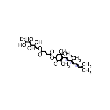 C=C(C)/C=C/C=C(C)/C=C/C1=C(C)C(=O)C(OC(=O)CCC(=O)OCC(O)C(O)C(O)C(O)CC)CC1(C)C